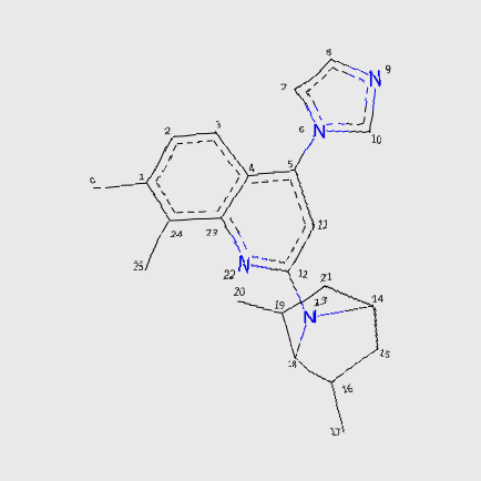 Cc1ccc2c(-n3ccnc3)cc(N3C4CC(C)C3C(C)C4)nc2c1C